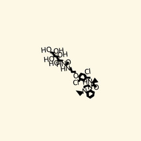 O=C(NCCCOc1cc(Cl)c(CNC2(C(=O)N3CCN(C4CC4)c4ccccc43)CC2)cc1Cl)NC[C@H](O)[C@@H](O)[C@H](O)[C@H](O)CO